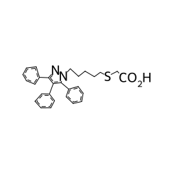 O=C(O)CSCCCCCn1nc(-c2ccccc2)c(-c2ccccc2)c1-c1ccccc1